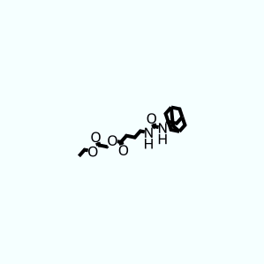 CCOC(=O)COC(=O)CCCNC(=O)NC12CC3CC(CC(C3)C1)C2